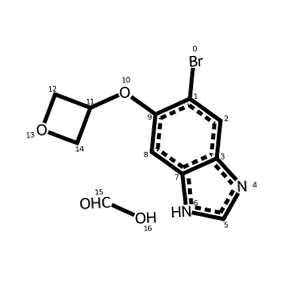 Brc1cc2nc[nH]c2cc1OC1COC1.O=CO